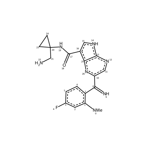 CNc1cc(F)ccc1C(=N)c1cnc2[nH]cc(C(=O)NC3(CN)CC3)c2n1